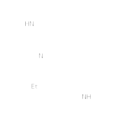 CC/C(CC=N)=N/CC(C)=N